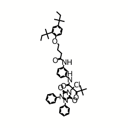 CCC(C)(C)c1ccc(OCCCC(=O)Nc2cccc(NC(=O)C(Cl)(C(=O)C(C)(C)C)n3c(=O)n(-c4ccccc4)n(-c4ccccc4)c3=O)c2)c(C(C)(C)CC)c1